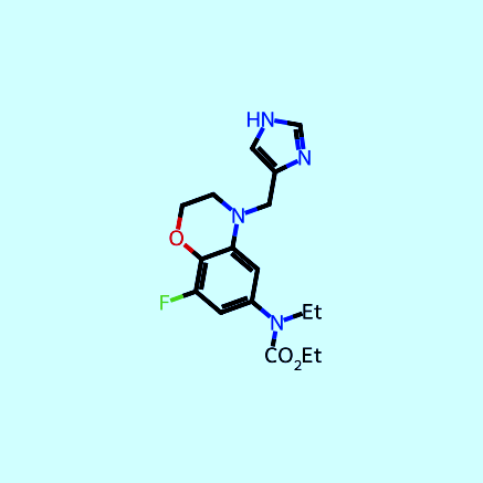 CCOC(=O)N(CC)c1cc(F)c2c(c1)N(Cc1c[nH]cn1)CCO2